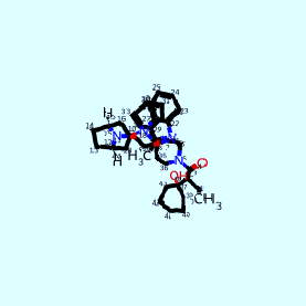 CCC(C(=O)N1CCC(CCN2[C@@H]3CC[C@H]2C[C@@H](n2c(C)nc4ccccc42)C3)(c2ccccc2)CC1)C1(O)CCCCC1